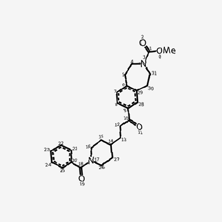 COC(=O)N1CCc2ccc(C(=O)CCC3CCN(C(=O)c4ccccc4)CC3)cc2CC1